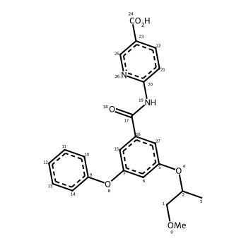 COCC(C)Oc1cc(Oc2ccccc2)cc(C(=O)Nc2ccc(C(=O)O)cn2)c1